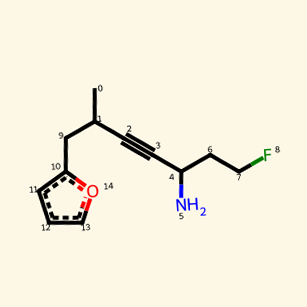 CC(C#CC(N)CCF)Cc1ccco1